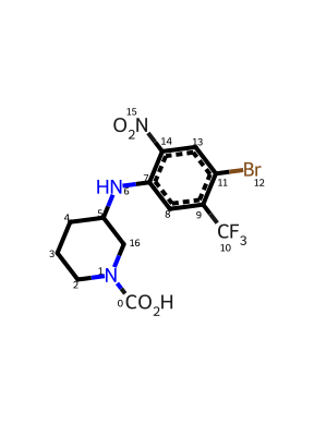 O=C(O)N1CCCC(Nc2cc(C(F)(F)F)c(Br)cc2[N+](=O)[O-])C1